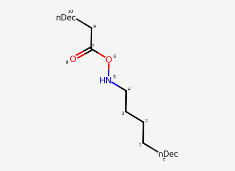 CCCCCCCCCCCCCCNOC(=O)CCCCCCCCCCC